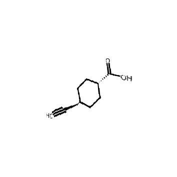 C#C[C@H]1CC[C@H](C(=O)O)CC1